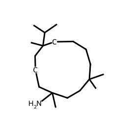 CC(C)C1(C)CCCCC(C)(C)CCC(C)(N)CCC1